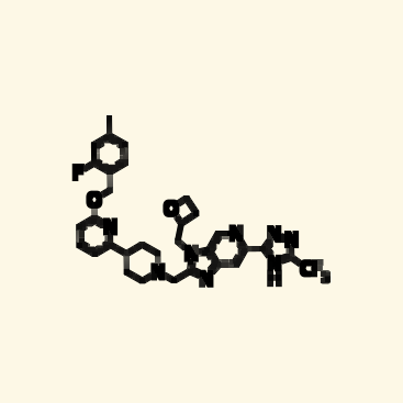 Cc1ccc(COc2cccc(C3CCN(Cc4nc5cc(-c6nnc(C(F)(F)F)[nH]6)ncc5n4CC4CCO4)CC3)n2)c(F)c1